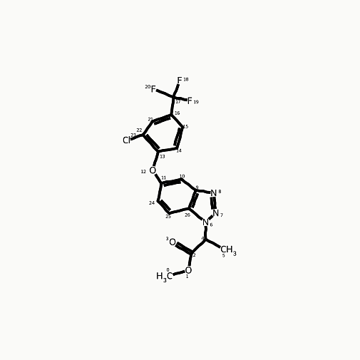 COC(=O)C(C)n1nnc2cc(Oc3ccc(C(F)(F)F)cc3Cl)ccc21